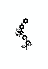 COC(O)C1CC(N2CCC(n3cc(-c4ccc(Oc5ccccc5)cc4)c4c(N)ncnc43)CC2)CCN1